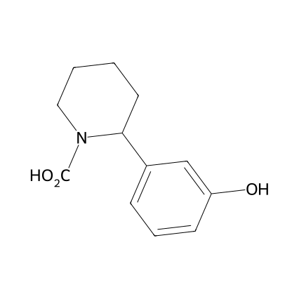 O=C(O)N1CCCCC1c1cccc(O)c1